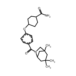 CC1(C)CC2CC(C)(CN2C(=O)c2ccc(OC3CCC(C(N)=O)CC3)cc2)C1